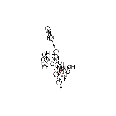 COC(=O)N[C@H](C(=O)N[C@@H](Cc1ccc(C#Cc2ccc(N3CC4CCC(C3)N4C3COC3)nc2)cc1)[C@@H](O)CN(Cc1ccc(-c2ccc(F)cn2)cc1F)NC(=O)[C@@H](NC(=O)O)C(C)(C)C(F)(F)F)C(C)(C)C(F)(F)F